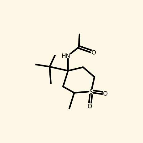 CC(=O)NC1(C(C)(C)C)CCS(=O)(=O)C(C)C1